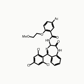 COCCOc1ccc(C(C)=O)cc1C(=O)NC1N=C(c2c(Cl)cc(Cl)cc2Cl)c2ccccc2NC1=O